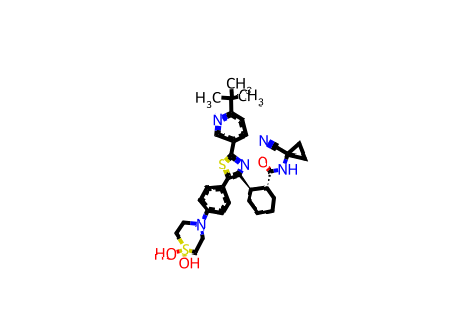 CC(C)(C)c1ccc(-c2nc([C@@H]3CCCC[C@H]3C(=O)NC3(C#N)CC3)c(-c3ccc(N4CCS(O)(O)CC4)cc3)s2)cn1